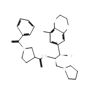 O=C(N[C@H](CN1CCCC1)[C@H](O)c1cc(F)c2c(c1)OCCO2)C1CCN(C(=O)c2ccccc2)C1